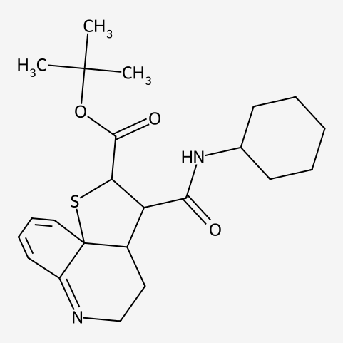 CC(C)(C)OC(=O)C1SC23C=CC=CC2=NCCC3C1C(=O)NC1CCCCC1